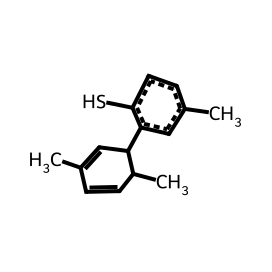 CC1=CC(c2cc(C)ccc2S)C(C)C=C1